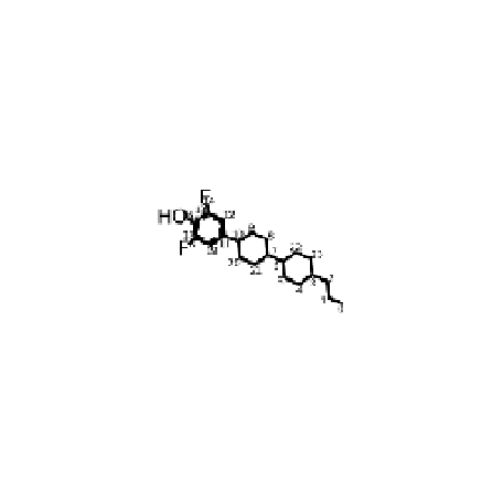 CCCC1CCC(C2CCC(c3cc(F)c(O)c(F)c3)CC2)CC1